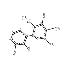 C.Nc1cc(-c2cccc(Cl)c2Cl)c(Cl)c(Cl)c1N